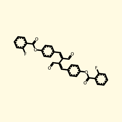 O=CC(=C/c1ccc(OC(=O)c2ccccc2F)cc1)/C(C=O)=C\c1ccc(OC(=O)c2ccccc2F)cc1